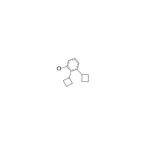 Clc1cccc(C2CCC2)c1C1CCC1